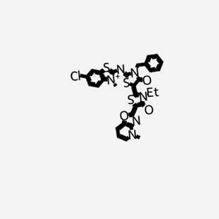 CCn1c(=O)/c(=c2\nc3c(o2)=CC=CN3C)s/c1=C1\S/C(=N\c2sc3cc(Cl)ccc3[n+]2C)N(Cc2ccccc2)C1=O